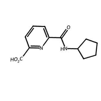 O=C(O)c1cccc(C(=O)NC2CCCC2)n1